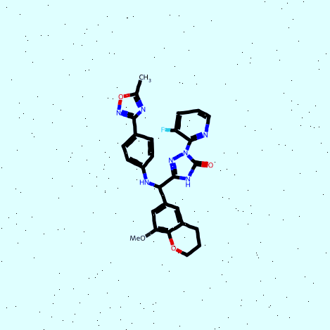 COc1cc(C(Nc2ccc(-c3noc(C)n3)cc2)c2nn(-c3ncccc3F)c(=O)[nH]2)cc2c1OCCC2